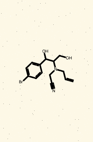 C=CCN(CC#N)C(CO)C(O)c1ccc(Br)cc1